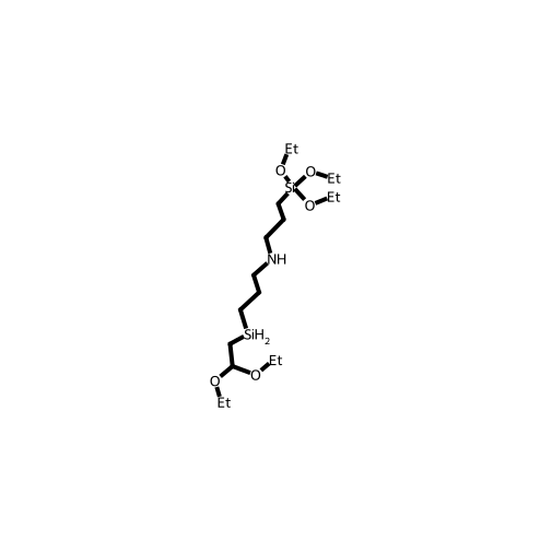 CCOC(C[SiH2]CCCNCCC[Si](OCC)(OCC)OCC)OCC